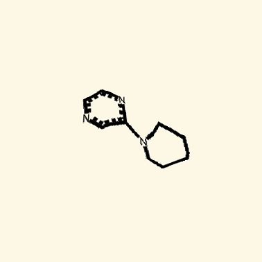 [c]1nccnc1N1CCCCC1